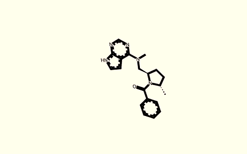 C[C@H]1CC[C@H](CN(C)c2ncnc3[nH]ccc23)N1C(=O)c1ccccc1